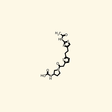 CC(=O)Nc1nc(CCc2ccc(CC(=O)N3CCC(NC(=O)O)C3)s2)cs1